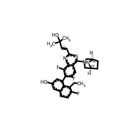 CCc1c(F)ccc2cc(O)cc(-c3c(F)cc4c(N5C[C@H]6CC[C@@H](C5)N6)nc(/C=C/C(C)(C)O)nc4c3F)c12